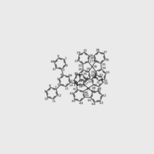 c1ccc(-c2cc(-c3ccccc3)cc(N(c3ccc4c(c3)-c3ccccc3C43c4ccccc4-c4ccccc43)c3cccc4c3C3(c5ccccc5-c5ccccc53)c3ccccc3-4)c2)cc1